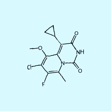 COc1c(Cl)c(F)c(C)n2c(=O)[nH]c(=O)c(C3CC3)c12